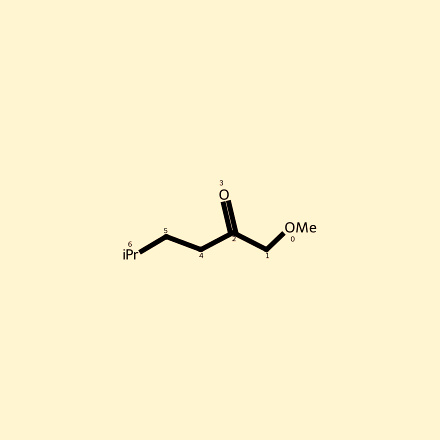 COCC(=O)CCC(C)C